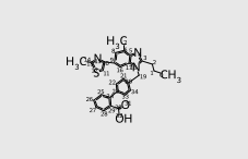 CCCc1nc2c(C)cc(-c3csc(C)n3)cc2n1Cc1ccc(-c2ccccc2C(=O)O)cc1